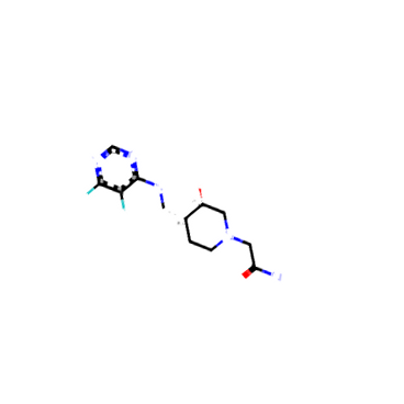 NC(=O)CN1CC[C@H](CNc2ncnc(F)c2F)[C@@H](O)C1